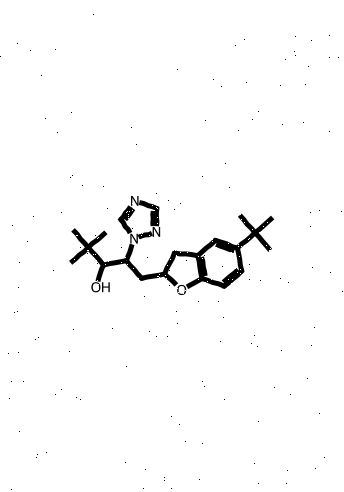 CC(C)(C)c1ccc2c(c1)CC(CC(C(O)C(C)(C)C)n1cncn1)O2